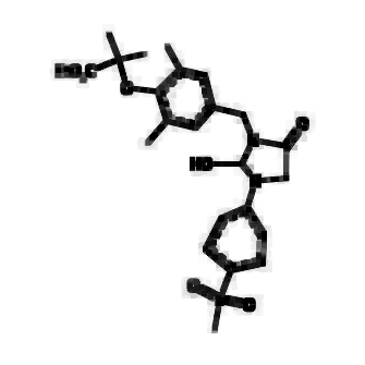 CCOC(=O)C(C)(C)Oc1c(C)cc(CN2C(=O)CN(c3ccc(S(C)(=O)=O)cc3)C2O)cc1C